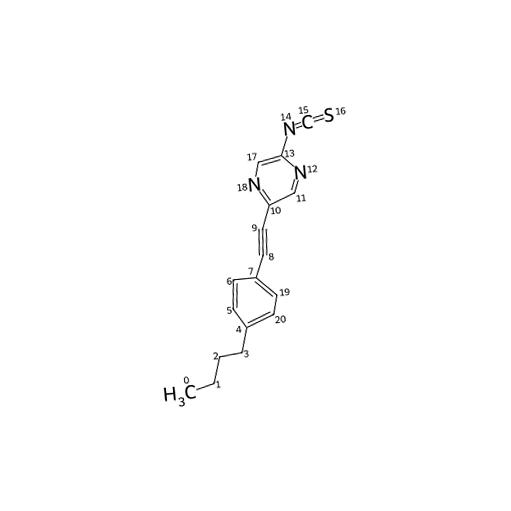 CCCCc1ccc(C#Cc2cnc(N=C=S)cn2)cc1